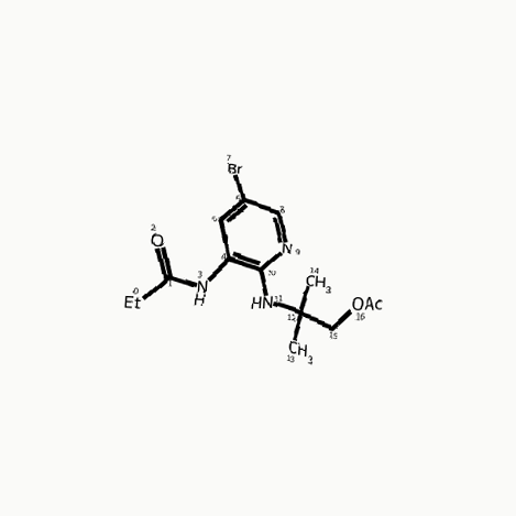 CCC(=O)Nc1cc(Br)cnc1NC(C)(C)COC(C)=O